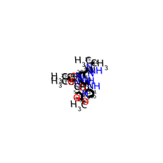 CO[C@H]1COCC[C@H]1n1cccc(Nc2cc(N(C)C(=O)OC(C)(C)C)n3ncc(C4=CN(C(C)C)NN4)c3n2)c1=O